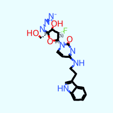 [N-]=[N+]=N[C@]1(CO)O[C@@H](n2ccc(NCCc3c[nH]c4ccccc34)nc2=O)[C@@H](F)C1O